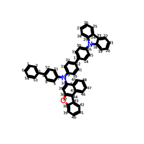 c1ccc(-c2ccc(N(c3ccc(-c4ccc(-n5c6ccccc6c6ccccc65)cc4)cc3)c3cc4oc5ccccc5c4c4ccccc34)cc2)cc1